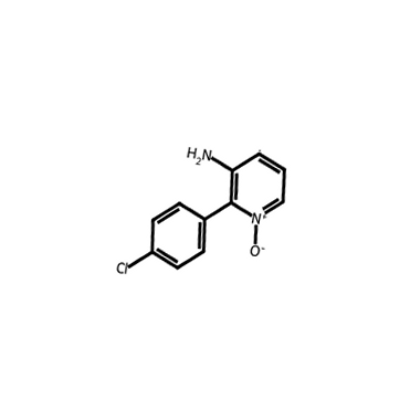 Nc1[c]cc[n+]([O-])c1-c1ccc(Cl)cc1